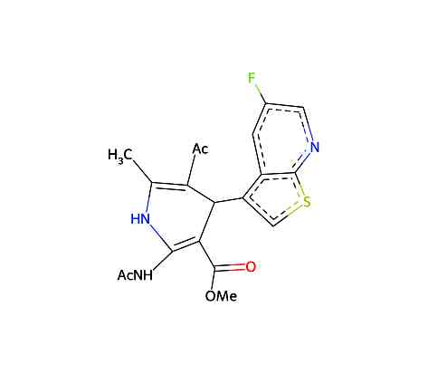 COC(=O)C1=C(NC(C)=O)NC(C)=C(C(C)=O)C1c1csc2ncc(F)cc12